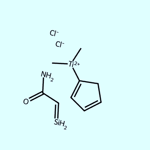 NC(=O)C=[SiH2].[CH3][Ti+2]([CH3])[C]1=CC=CC1.[Cl-].[Cl-]